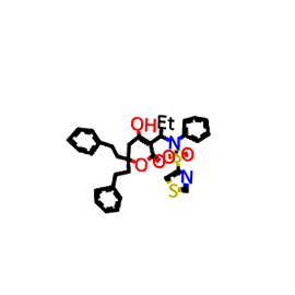 CCC(C1=C(O)CC(CCc2ccccc2)(CCc2ccccc2)OC1=O)N(c1ccccc1)S(=O)(=O)c1cscn1